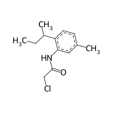 CCC(C)c1ccc(C)cc1NC(=O)CCl